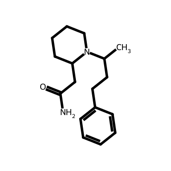 CC(CCc1ccccc1)N1CCCCC1CC(N)=O